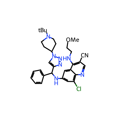 COCCNc1c(C#N)cnc2c(Cl)cc(NC(c3ccccc3)c3cn(C4CCN(C(C)(C)C)CC4)nn3)cc12